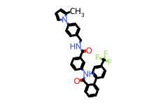 Cc1cccn1-c1ccc(CNC(=O)c2cccc(NC(=O)c3ccccc3-c3ccc(C(F)(F)F)cc3)c2)cc1